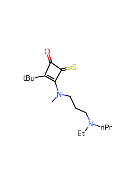 CCCN(CC)CCCN(C)c1c(C(C)(C)C)c(=O)c1=S